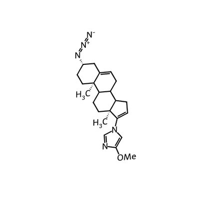 COc1cn(C2=CCC3C4CC=C5C[C@@H](N=[N+]=[N-])CC[C@]5(C)C4CC[C@]23C)cn1